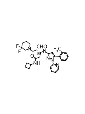 O=CN(c1cc(-c2ccccc2C(F)(F)F)n(-c2ccccn2)n1)[C@@H](CCN1CCCC(F)(F)C1)CC(=O)NC1CCC1